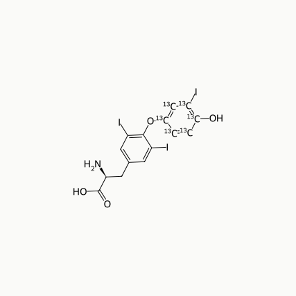 N[C@@H](Cc1cc(I)c(O[13c]2[13cH][13cH][13c](O)[13c](I)[13cH]2)c(I)c1)C(=O)O